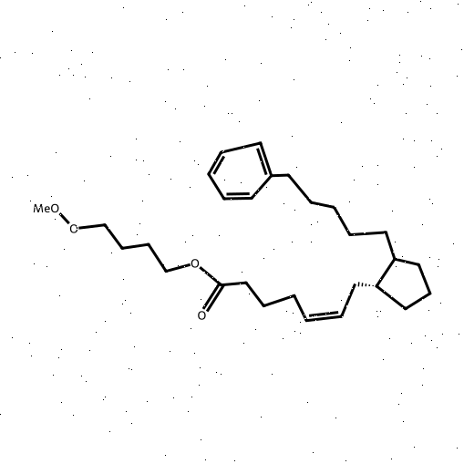 COOCCCCOC(=O)CCC/C=C\C[C@H]1CCCC1CCCCCc1ccccc1